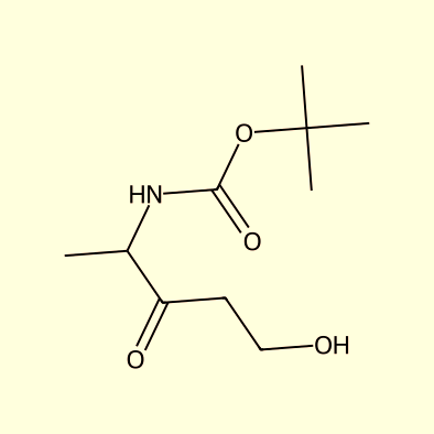 CC(NC(=O)OC(C)(C)C)C(=O)CCO